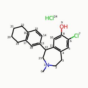 CN1CCc2cc(Cl)c(O)cc2C(c2ccc3c(c2)CCCC3)C1.Cl